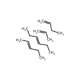 C/C=C/CC.C=CC.C=CCC.CC/C=C/CC